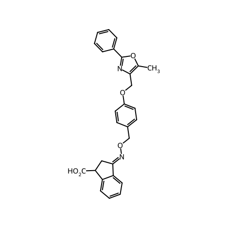 Cc1oc(-c2ccccc2)nc1COc1ccc(CO/N=C2\CC(C(=O)O)c3ccccc32)cc1